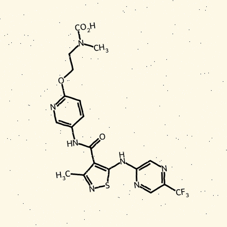 Cc1nsc(Nc2cnc(C(F)(F)F)cn2)c1C(=O)Nc1ccc(OCCN(C)C(=O)O)nc1